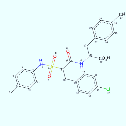 Cc1ccc(NS(=O)(=O)C(Cc2ccc(Cl)cc2)C(=O)NC(Cc2ccc(C#N)cc2)C(=O)O)cc1